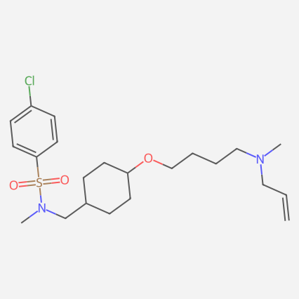 C=CCN(C)CCCCOC1CCC(CN(C)S(=O)(=O)c2ccc(Cl)cc2)CC1